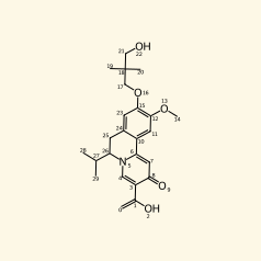 C=C(O)c1cn2c(cc1=O)-c1cc(OC)c(OCC(C)(C)CO)cc1CC2C(C)C